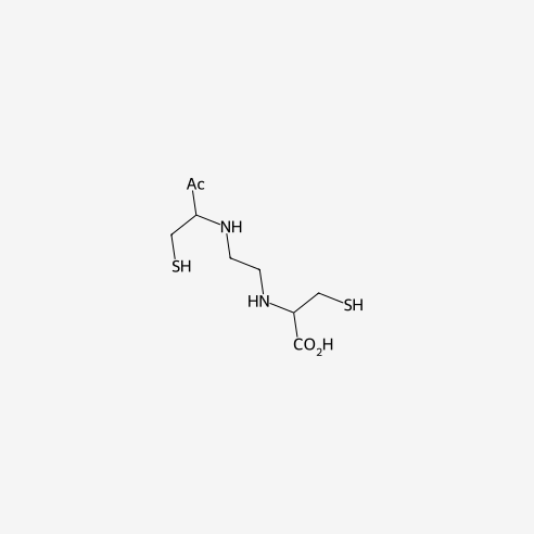 CC(=O)C(CS)NCCNC(CS)C(=O)O